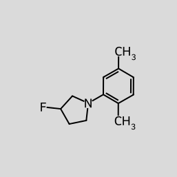 Cc1ccc(C)c(N2CCC(F)C2)c1